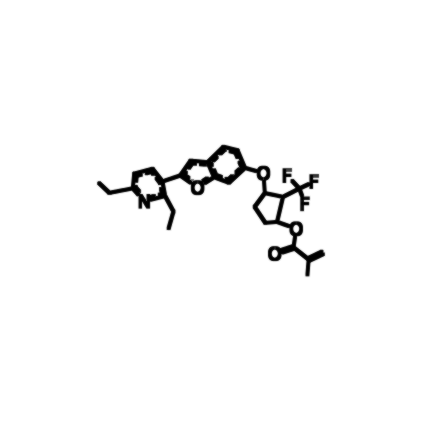 C=C(C)C(=O)OC1CCC(Oc2ccc3cc(-c4ccc(CC)nc4CC)oc3c2)C1C(F)(F)F